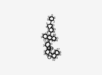 c1ccc(-c2ccc3cc(-c4c5ccccc5c(-c5ccc6c(c5)oc5c6ccc6oc7ccc8ccccc8c7c65)c5ccccc45)ccc3c2)cc1